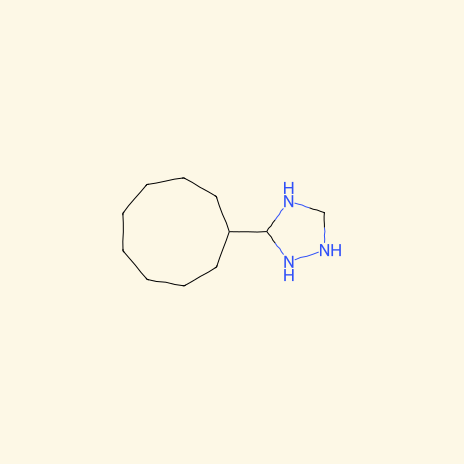 C1CCCCC(C2NCNN2)CCC1